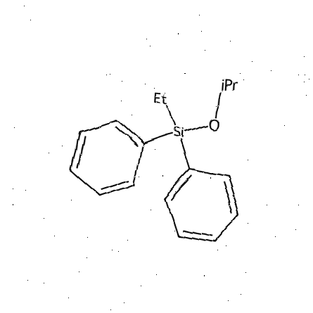 CC[Si](OC(C)C)(c1ccccc1)c1ccccc1